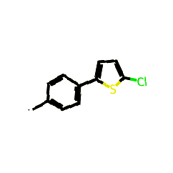 [CH2]c1ccc(-c2ccc(Cl)s2)cc1